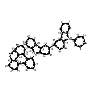 c1ccc(-n2c3ccccc3c3cc(-c4ccc5c(c4)c4ccccc4n5-c4cccc5c6cccc7sc8cccc(c45)c8c76)ccc32)cc1